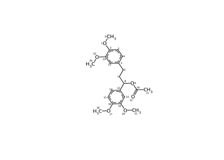 COc1ccc(CCC(OC(C)=O)c2ccc(OC)c(OC)c2)cc1OC